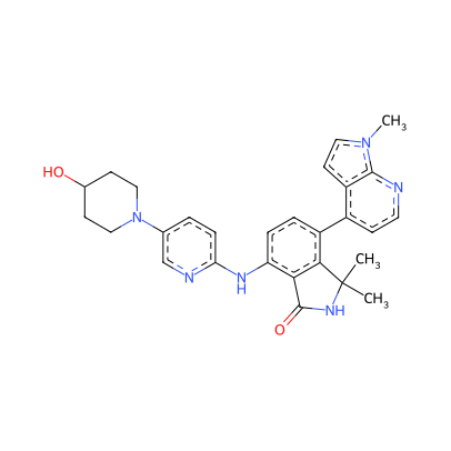 Cn1ccc2c(-c3ccc(Nc4ccc(N5CCC(O)CC5)cn4)c4c3C(C)(C)NC4=O)ccnc21